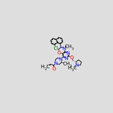 C=CC(=O)N1CCN(c2nc(OC[C@@H]3CCCN3C)nc3c2OCC(c2cccc4cccc(Cl)c24)N3C)[C@@H](C)C1